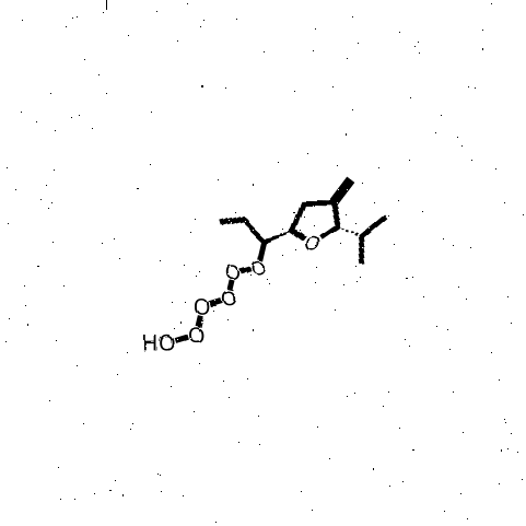 C=C1C[C@H](C(CC)OOOOOO)O[C@H]1C(C)C